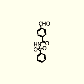 O=Cc1ccc(C(=O)NS(=O)(=O)c2ccccc2)cc1